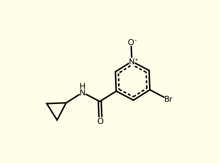 O=C(NC1CC1)c1cc(Br)c[n+]([O-])c1